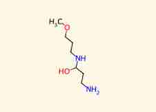 COCCCNC(O)CCN